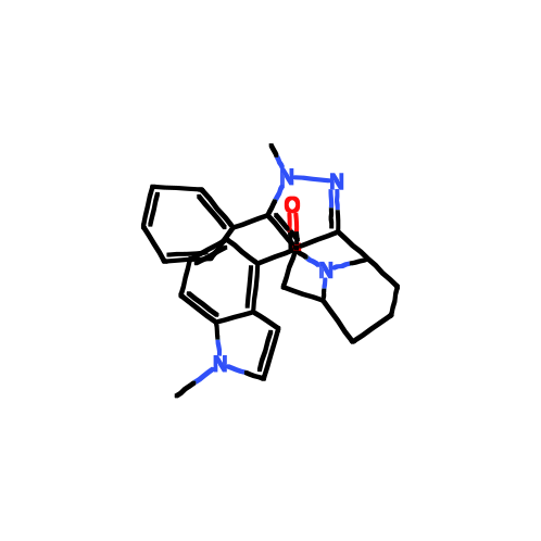 Cn1nc2c(c1-c1ccccc1)CC1CCCC2N1C(=O)c1cccc2c1ccn2C